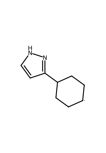 [CH]1CCC(c2cc[nH]n2)CC1